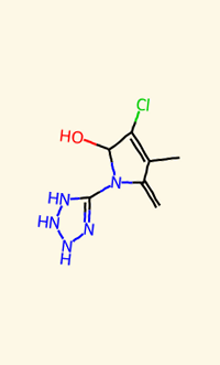 C=C1C(C)=C(Cl)C(O)N1C1=NNNN1